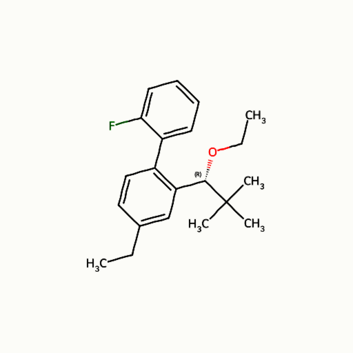 CCO[C@@H](c1cc(CC)ccc1-c1ccccc1F)C(C)(C)C